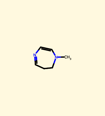 CN1C=CN=CCC1